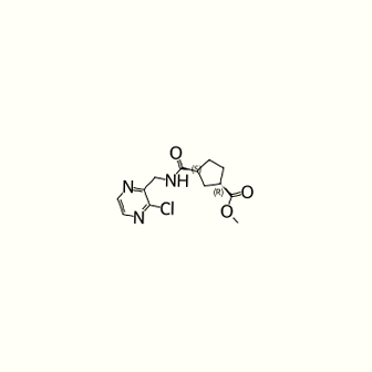 COC(=O)[C@@H]1CC[C@H](C(=O)NCc2nccnc2Cl)C1